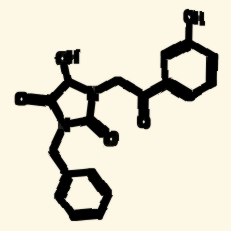 O=C(CN1C(=O)N(Cc2ccccc2)C(=O)C1O)c1cccc(O)c1